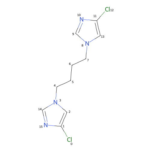 Clc1cn(CCCCn2cnc(Cl)c2)cn1